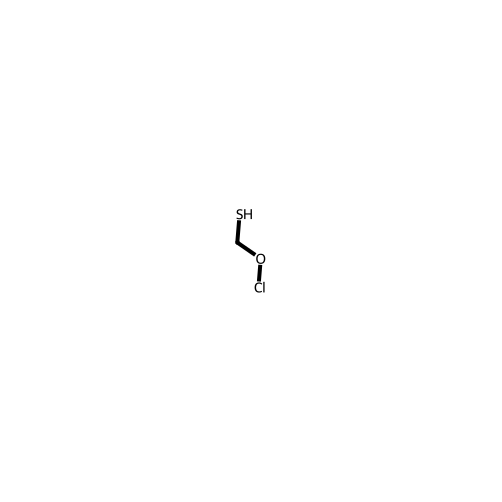 SCOCl